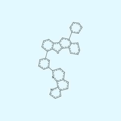 c1ccc(-c2cc3c4cccc(-c5cccc(-c6ccc7ccc8cccnc8c7n6)c5)c4oc3c3ccccc23)cc1